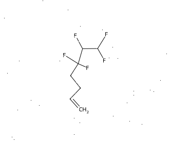 C=CCCC(F)(F)C(F)C(F)F